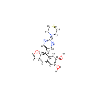 COc1cc2cc3ccoc3c(-c3cnc(N4CCSCC4)nc3)c2cc1OC